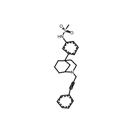 CS(=O)(=O)Nc1cccc(C23CCCC(C2)N(CC#Cc2ccccc2)CC3)c1